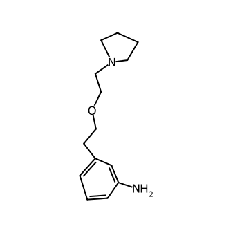 Nc1cccc(CCOCCN2CCCC2)c1